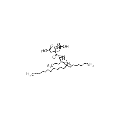 CCCCCCCCCCCCCCCCCCN.CCCN(C)C.O=C(O)CC(O)(CC(=O)O)C(=O)O